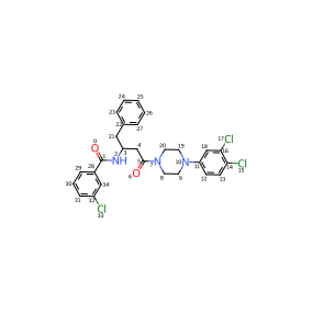 O=C(NC(CC(=O)N1CCN(c2ccc(Cl)c(Cl)c2)CC1)Cc1ccccc1)c1cccc(Cl)c1